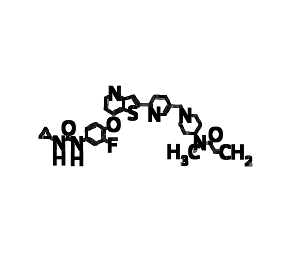 C=CC(=O)N(C)C1CCN(Cc2ccc(-c3cc4nccc(Oc5ccc(NC(=O)NC6CC6)cc5F)c4s3)nc2)CC1